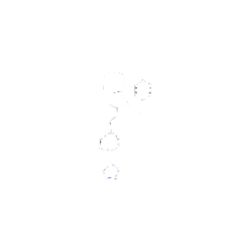 C[N+](C(=O)/C=C/c1ccc(-n2ccnc2)cc1)(c1ccccc1)C1CCCCCC1